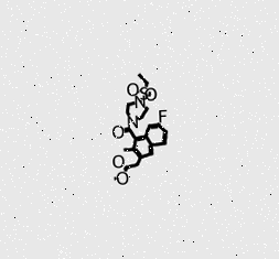 CCS(=O)(=O)N1CCN(C(=O)c2c(C)c(CC(=O)OC)cc3ccc(F)cc23)CC1